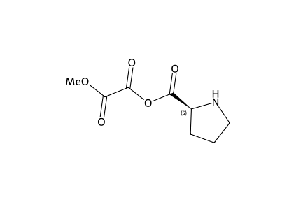 COC(=O)C(=O)OC(=O)[C@@H]1CCCN1